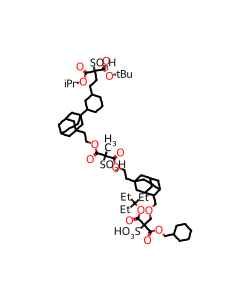 CCC(CC)(CC)OC(=O)C(COCC1C2CC3CC1CC(CCOC(=O)C(C)(C(=O)OCCC14CC5CC(C1)CC(C1CCCC(CCC(C(=O)OC(C)C)(C(=O)OC(C)(C)C)S(=O)(=O)O)C1)(C5)C4)S(=O)(=O)O)(C3)C2)(C(=O)OCC1CCCCC1)S(=O)(=O)O